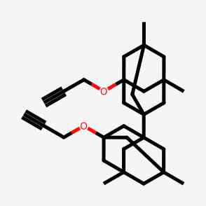 C#CCOC12CC3(C)CC(C)(C1)CC(C14CC5(C)CC(C)(CC(OCC#C)(C5)C1)C4)(C3)C2